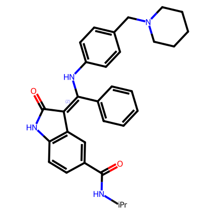 CC(C)NC(=O)c1ccc2c(c1)/C(=C(/Nc1ccc(CN3CCCCC3)cc1)c1ccccc1)C(=O)N2